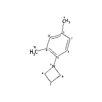 Cc1ccc(N2CCC2)c(C)c1